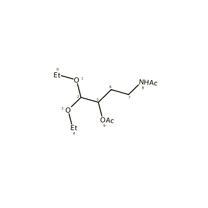 CCOC(OCC)C(CCNC(C)=O)OC(C)=O